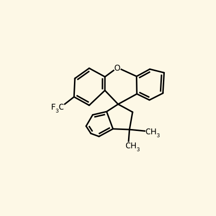 CC1(C)CC2(c3ccccc3Oc3ccc(C(F)(F)F)cc32)c2ccccc21